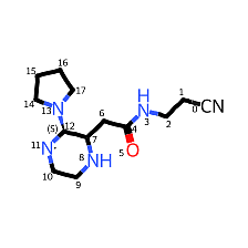 N#CCCNC(=O)CC1NCC[N][C@H]1N1CCCC1